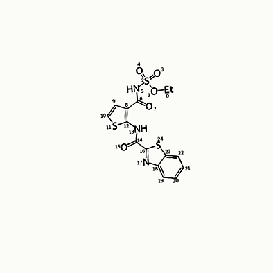 CCOS(=O)(=O)NC(=O)c1ccsc1NC(=O)c1nc2ccccc2s1